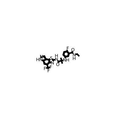 CCNC(=O)c1cc(NC(C)(C)C(=O)Nc2nc3c(C(F)(F)F)cc4[nH]ncc4c3s2)ccc1F